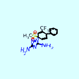 CS(=O)(=O)C1(n2nc(N)nc2N)C=CC(c2ccccc2)C(C(F)(F)F)=C1